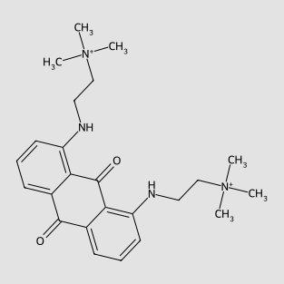 C[N+](C)(C)CCNc1cccc2c1C(=O)c1c(NCC[N+](C)(C)C)cccc1C2=O